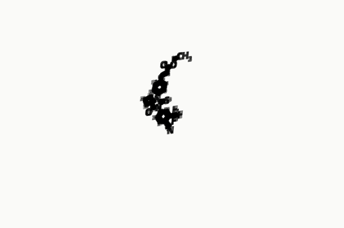 CCOC(=O)C=Cc1ccc(N2C(=S)N(c3ccc(C#N)c(C(F)(F)F)c3)C(=O)C23CCC3)cc1